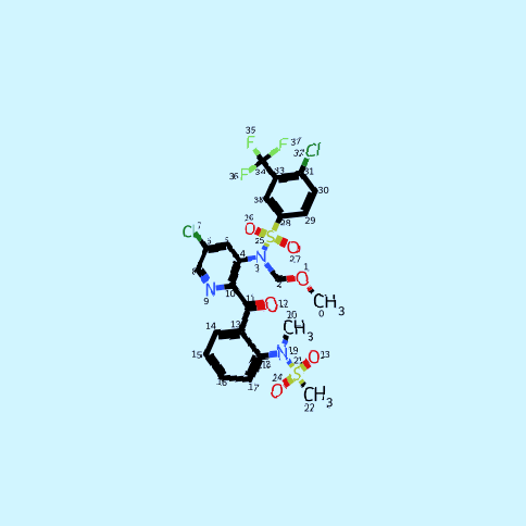 COCN(c1cc(Cl)cnc1C(=O)c1ccccc1N(C)S(C)(=O)=O)S(=O)(=O)c1ccc(Cl)c(C(F)(F)F)c1